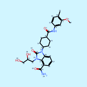 COc1cc(NC(=O)C2CCC(n3c(=O)n(CC(O)CO)c4c(C(N)=O)cccc43)CC2)ccc1C